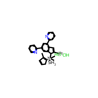 CC1=[C]([Zr]([CH3])([CH3])(=[SiH2])[CH]2C(C(C)C)=Cc3c(-c4ccccn4)cc(-c4ccccn4)cc32)CC=C1.Cl.Cl